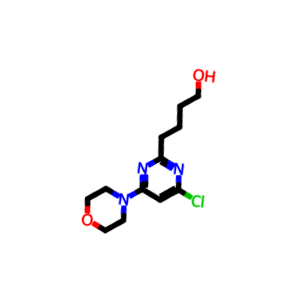 OCCCCc1nc(Cl)cc(N2CCOCC2)n1